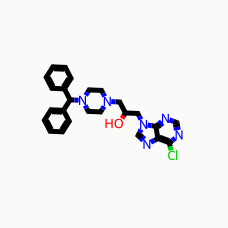 OC(CN1CCN(C(c2ccccc2)c2ccccc2)CC1)Cn1cnc2c(Cl)ncnc21